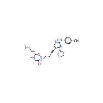 C[C@@H](C(=O)NCCCC#Cc1cnc(Nc2ccc(C#N)cc2)nc1N1CCCC1)N(C)C(=O)/C=C/CN(C)C